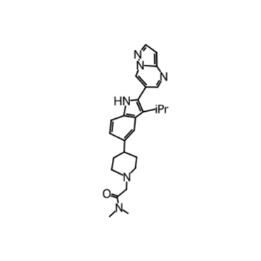 CC(C)c1c(-c2cnc3ccnn3c2)[nH]c2ccc(C3CCN(CC(=O)N(C)C)CC3)cc12